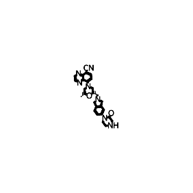 C[C@@H]1CN(c2ccc(C#N)c3nccnc23)C[C@H](CN2Cc3ccc(N4CCNCC4=O)cc3C2)O1